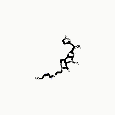 CC/C=C\C=N/CCn1ncc2c3sc([C@H](C)c4cc[nH]n4)nc3n(C)c2c1=O